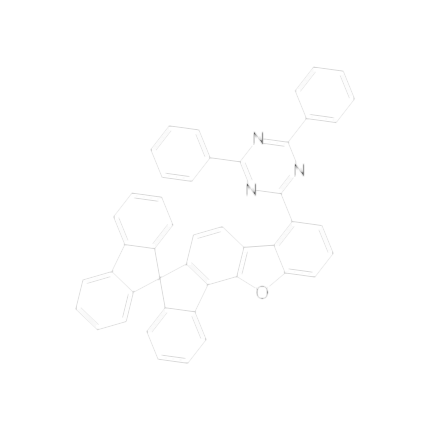 c1ccc(-c2nc(-c3ccccc3)nc(-c3cccc4oc5c6c(ccc5c34)C3(c4ccccc4-c4ccccc43)c3ccccc3-6)n2)cc1